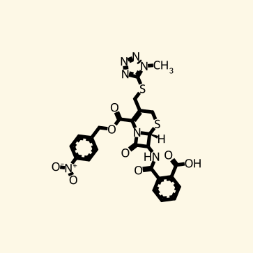 Cn1nnnc1SCC1=C(C(=O)OCc2ccc([N+](=O)[O-])cc2)N2C(=O)C(NC(=O)c3ccccc3C(=O)O)[C@H]2SC1